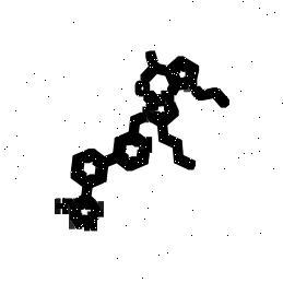 CCCCc1cn(-c2c(C(C)C)ccn2CCC)c(=O)n1Cc1cc(-c2cccc(-c3nnn[nH]3)c2)ccn1